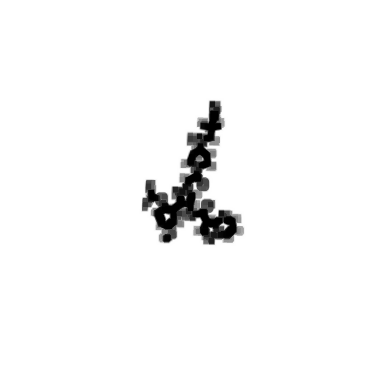 CSc1ccc(OC(F)F)c(-c2nn(CC(=O)N3CCC(NCC(C)(C)C#N)CC3)cc2NC(=O)c2cnn3cccnc23)c1